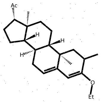 CCOC1=CC2=CC[C@H]3[C@@H]4CC[C@H](C(C)=O)[C@@]4(C)CC[C@@H]3[C@@]2(C)CC1C